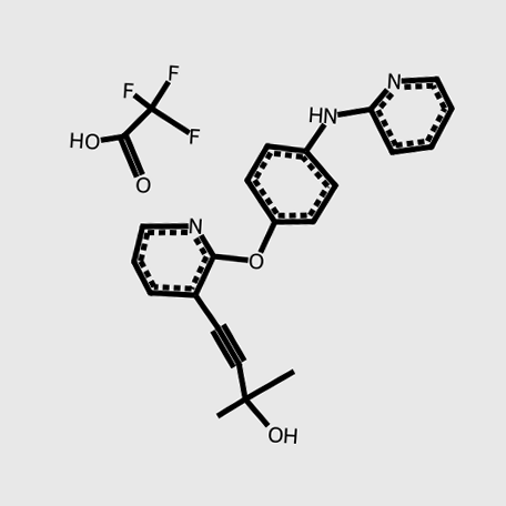 CC(C)(O)C#Cc1cccnc1Oc1ccc(Nc2ccccn2)cc1.O=C(O)C(F)(F)F